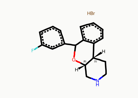 Br.Fc1cccc(C2O[C@H]3CNCC[C@H]3c3ccccc32)c1